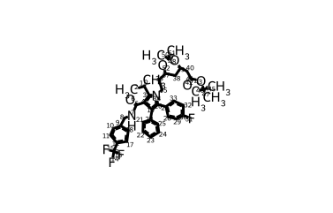 CC(C)c1c(C(=O)NCc2ccc(C(F)(F)F)cc2)c(-c2ccccc2)c(-c2ccc(F)cc2)n1CCC1CC(CC(=O)OC(C)(C)C)OC(C)(C)O1